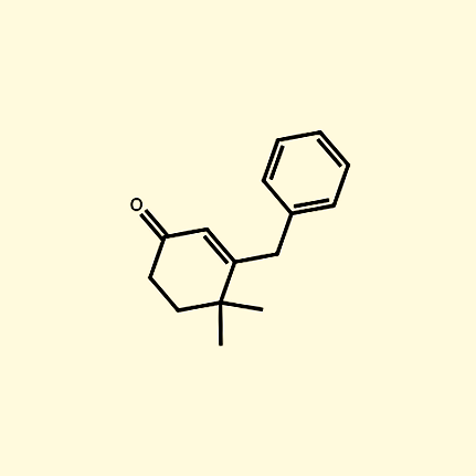 CC1(C)CCC(=O)C=C1Cc1ccccc1